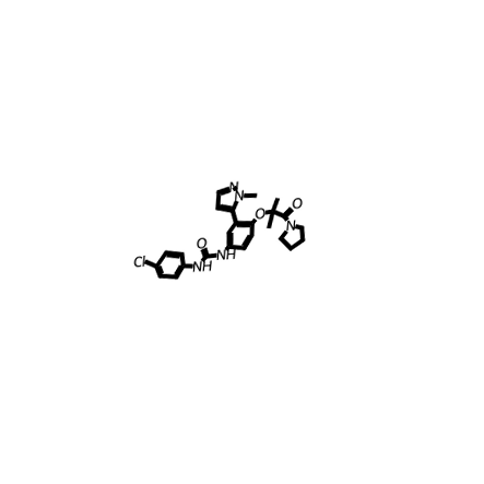 Cn1nccc1-c1cc(NC(=O)Nc2ccc(Cl)cc2)ccc1OC(C)(C)C(=O)N1CCCC1